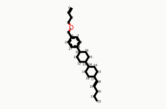 C=CCCOCc1ccc(C2CCC(C3CCC(/C=C/CCC)CC3)CC2)cc1